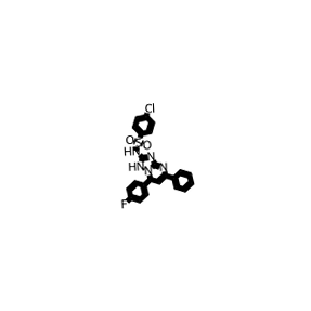 O=S(=O)(NC1=NC2=NC(c3ccccc3)=CC(c3ccc(F)cc3)N2N1)c1ccc(Cl)cc1